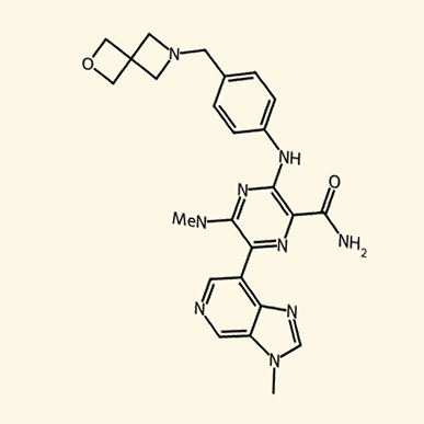 CNc1nc(Nc2ccc(CN3CC4(COC4)C3)cc2)c(C(N)=O)nc1-c1cncc2c1ncn2C